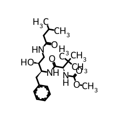 COC(=O)N[C@H](C(=O)N[C@@H](Cc1ccccc1)[C@@H](O)CNC(=O)CC(C)C)C(C)(C)C